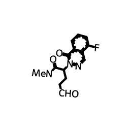 CNC(=O)C(CCC=O)n1ncc2c(F)cccc2c1=O